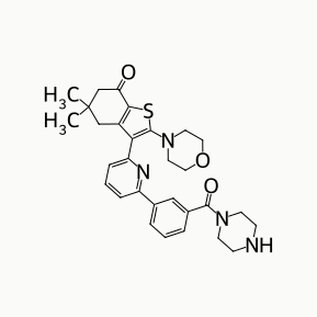 CC1(C)CC(=O)c2sc(N3CCOCC3)c(-c3cccc(-c4cccc(C(=O)N5CCNCC5)c4)n3)c2C1